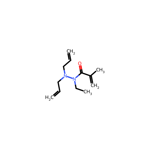 C=CCN(CC=C)N(CC)C(=O)C(=C)C